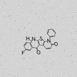 Nc1sc2c(ccc(=O)n2-c2ccccc2)c1C(=O)c1cccc(F)c1